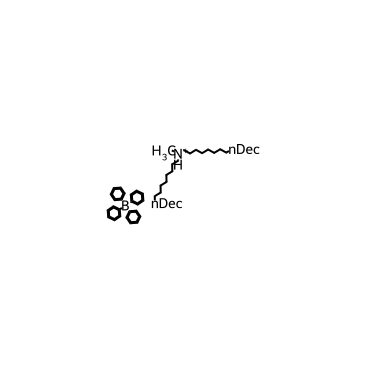 CCCCCCCCCCCCCCCCCC[NH+](C)CCCCCCCCCCCCCCCCCC.c1ccc([B-](c2ccccc2)(c2ccccc2)c2ccccc2)cc1